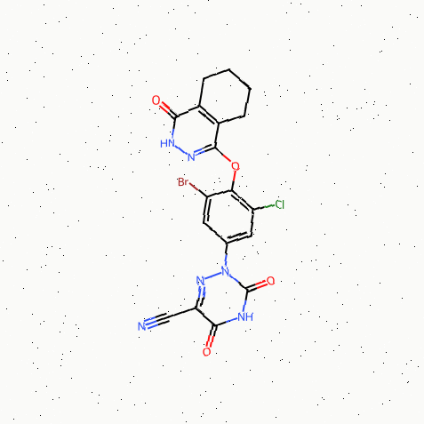 N#Cc1nn(-c2cc(Cl)c(Oc3n[nH]c(=O)c4c3CCCC4)c(Br)c2)c(=O)[nH]c1=O